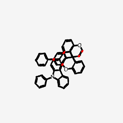 c1ccc(-c2ccc3c(c2)Oc2ccccc2C32c3ccccc3Oc3cccc(-c4ccc5c(c4)c4ccccc4n5-c4ccccc4)c32)cc1